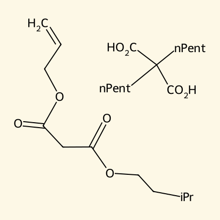 C=CCOC(=O)CC(=O)OCCC(C)C.CCCCCC(CCCCC)(C(=O)O)C(=O)O